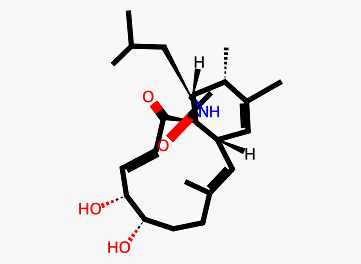 CC1=C[C@@H]2/C=C(\C)CC[C@H](O)[C@H](O)/C=C/C(=O)[C@]23C(=O)N[C@@H](CC(C)C)[C@@H]3[C@@H]1C